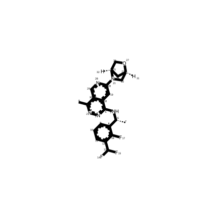 Cc1nnc(N[C@H](C)c2cccc(C(F)F)c2F)c2cc(N3C[C@H]4C[C@@H]3CO4)ncc12